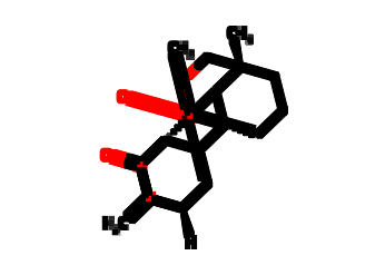 C=C1C(=O)[C@@]23CC[C@@H](CC2[C@@]24CCC[C@@](C)(COC2)C14)C(=C)C3=O